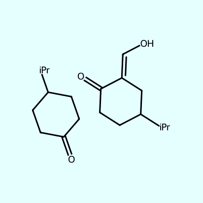 CC(C)C1CCC(=O)/C(=C/O)C1.CC(C)C1CCC(=O)CC1